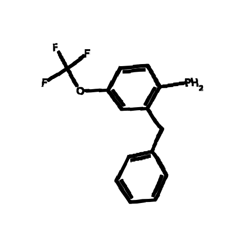 FC(F)(F)Oc1ccc(P)c(Cc2ccccc2)c1